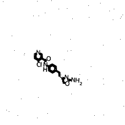 NC1=N[C@@H](CCc2ccc(NC(=O)c3cnccc3Cl)cc2)CO1